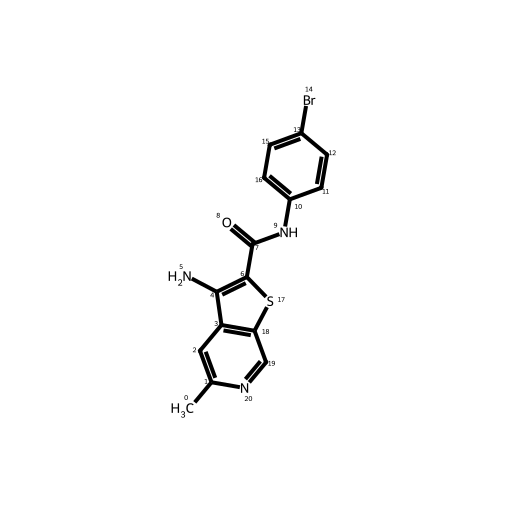 Cc1cc2c(N)c(C(=O)Nc3ccc(Br)cc3)sc2cn1